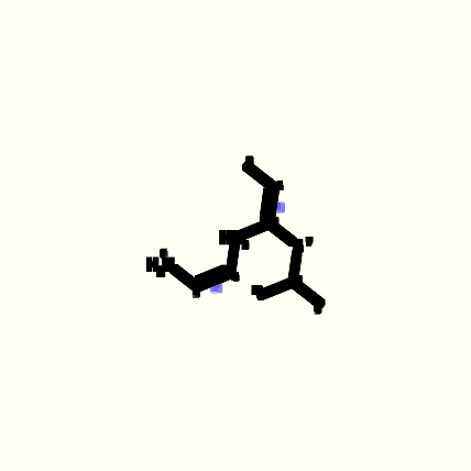 C/C=C(\N/C=C\N)SC(C)C